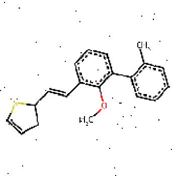 COc1c(C=CC2CC=CS2)cccc1-c1ccccc1C